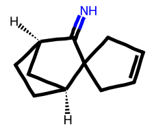 N=C1[C@@H]2CC[C@@H](C2)C12CC=CC2